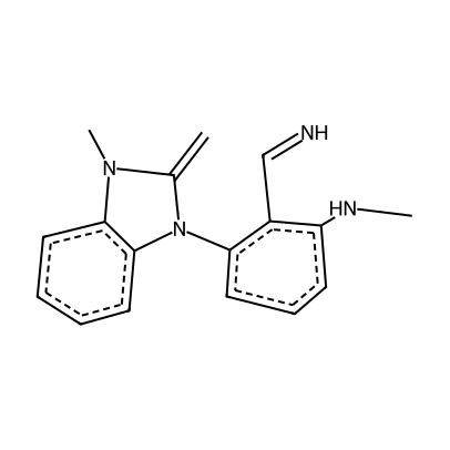 C=C1N(C)c2ccccc2N1c1cccc(NC)c1C=N